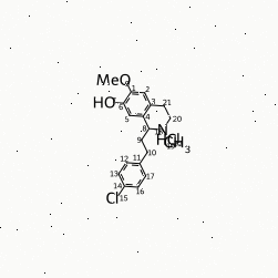 COc1cc2c(cc1O)C(CCc1ccc(Cl)cc1)N(C)CC2.Cl